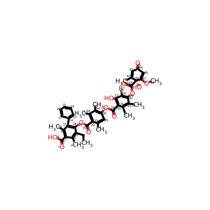 CCc1c(C)c(C(=O)O)c(C)c(-c2ccccc2)c1OC(=O)c1c(C)cc(OC(=O)c2c(C)c(C)c(OC(=O)[C@@]3(O)C(C)=CC(=O)C=C3OC)c(Br)c2O)c(C)c1C